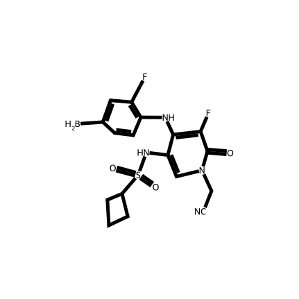 Bc1ccc(Nc2c(NS(=O)(=O)C3CCC3)cn(CC#N)c(=O)c2F)c(F)c1